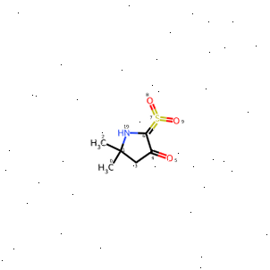 CC1(C)CC(=O)C(=S(=O)=O)N1